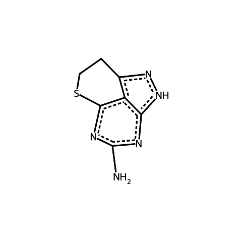 Nc1nc2c3c(n[nH]c3n1)CCS2